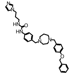 O=C(NCCCn1ccnc1)Nc1ccc(CN2CCCN(Cc3ccc(OCc4ccccc4)cc3)CC2)cc1